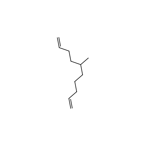 C=CCCCC(C)CCC=C